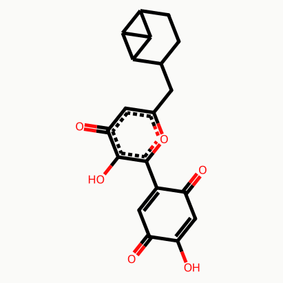 O=C1C=C(c2oc(CC3CCC4C5C3C45)cc(=O)c2O)C(=O)C=C1O